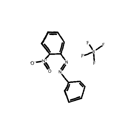 F[B-](F)(F)F.O=[N+]([O-])c1ccccc1/N=N/c1ccccc1